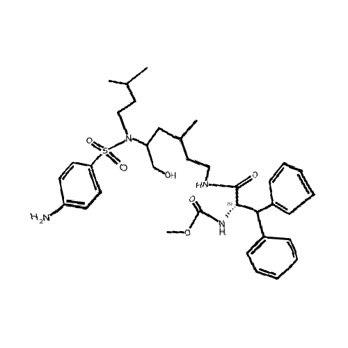 COC(=O)N[C@H](C(=O)NCCC(C)CC(CO)N(CCC(C)C)S(=O)(=O)c1ccc(N)cc1)C(c1ccccc1)c1ccccc1